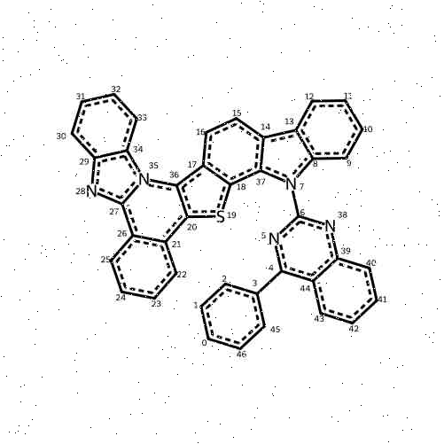 c1ccc(-c2nc(-n3c4ccccc4c4ccc5c(sc6c7ccccc7c7nc8ccccc8n7c56)c43)nc3ccccc23)cc1